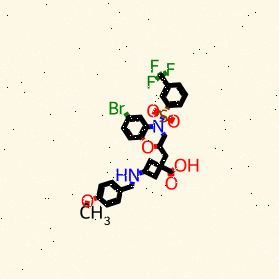 COc1ccc(CNC2CC(CC3CN(S(=O)(=O)c4cccc(C(F)(F)F)c4)c4cc(Br)ccc4O3)(C(=O)O)C2)cc1